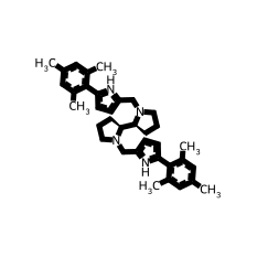 Cc1cc(C)c(-c2ccc(CN3CCC[C@H]3[C@@H]3CCCN3Cc3ccc(-c4c(C)cc(C)cc4C)[nH]3)[nH]2)c(C)c1